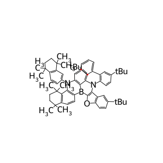 CC(C)(C)c1ccc(N2c3cc(C(C)(C)C)cc4c3B(c3ccc5c(c3N4c3ccc4c(c3)C(C)(C)CCC4(C)C)C(C)(C)CCC5(C)C)c3oc4ccc(C(C)(C)C)cc4c32)c(-c2ccccc2)c1